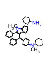 Cn1c(-c2ccccc2)c(C(=C2C=CC(=[N+](C)C3CCCCC3)C=C2)c2ccccc2)c2ccccc21.NC1CCCCC1